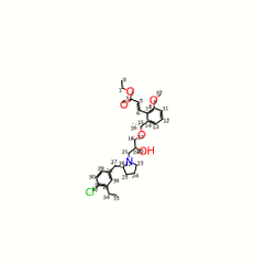 CCOC(=O)/C=C/c1c(OC)cccc1[C@@H](C)OCC(O)CN1CCC[C@H]1Cc1ccc(Cl)c(CC)c1